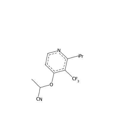 CC(C#N)Oc1ccnc(C(C)C)c1C(F)(F)F